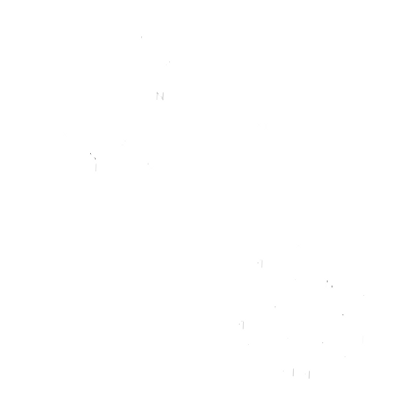 [2H]C1([2H])N(Cc2ccc(COc3cccc4c3CN(C3CCC(=O)NC3=O)C4=O)cc2)C([2H])([2H])C([2H])([2H])C([2H])([2H])C1([2H])[2H]